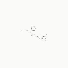 COC(=O)CN(C(=O)CNC(=O)Cc1cc(F)cc(F)c1)c1ccccc1